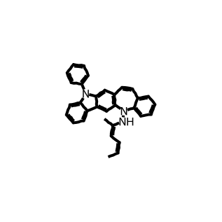 C/C=C\C=C(\C)NN1c2ccccc2C=Cc2cc3c(cc21)c1ccccc1n3-c1ccccc1